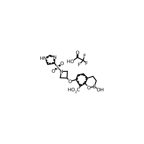 O=C(O)C(F)(F)F.O=C(O)c1c(OC2CN(S(=O)(=O)c3c[nH]cn3)C2)ccc2c1OB(O)CC2